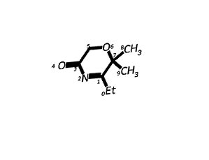 CCC1=NC(=O)COC1(C)C